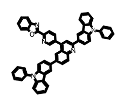 c1ccc(-n2c3ccccc3c3cc(-c4ccc5nc(-c6ccc7c(c6)c6ccccc6n7-c6ccccc6)cc(-c6ccc(-c7nc8ccccc8o7)nc6)c5c4)ccc32)cc1